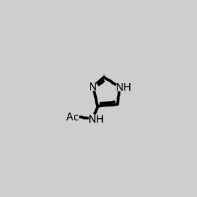 CC(=O)Nc1c[nH][c]n1